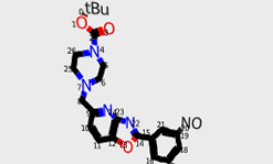 CC(C)(C)OC(=O)N1CCN(Cc2ccc3oc(-c4cccc(N=O)c4)nc3n2)CC1